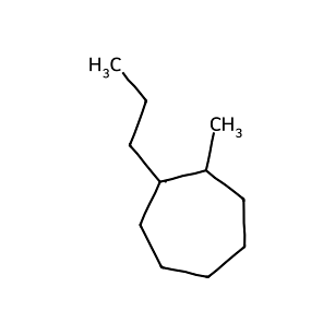 CCC[C]1CCCCCC1C